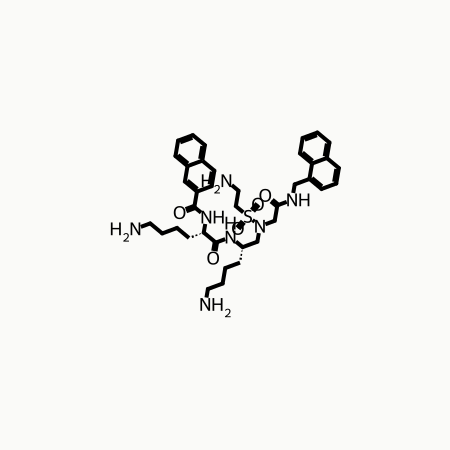 NCCCC[C@@H](CN(CC(=O)NCc1cccc2ccccc12)S(=O)(=O)CCN)NC(=O)[C@H](CCCCN)NC(=O)c1ccc2ccccc2c1